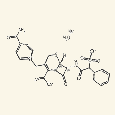 NC(=O)c1cc[n+](CC2=C(C(=O)[O-])N3C(=O)[C@@H](NC(=O)C(c4ccccc4)S(=O)(=O)[O-])[C@H]3SC2)cc1.O.[Na+]